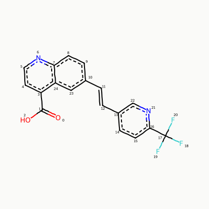 O=C(O)c1ccnc2ccc(C=Cc3ccc(C(F)(F)F)nc3)cc12